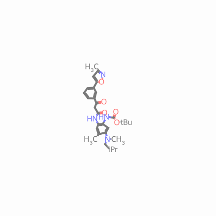 Cc1cc(-c2cccc(C(=O)CC(=O)Nc3cc(C)c(N(C)CC(C)C)cc3NC(=O)OC(C)(C)C)c2)on1